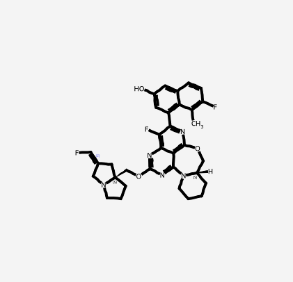 Cc1c(F)ccc2cc(O)cc(-c3nc4c5c(nc(OC[C@@]67CCCN6C/C(=C\F)C7)nc5c3F)N3CCCC[C@H]3CO4)c12